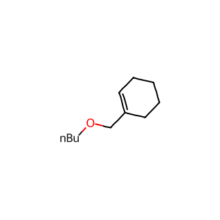 CCCCOCC1=CCCCC1